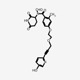 Cc1cc(OCCOCC#Cc2ccc(O)cn2)ccc1C(=O)N(C=O)C1CCC(=O)NC1=O